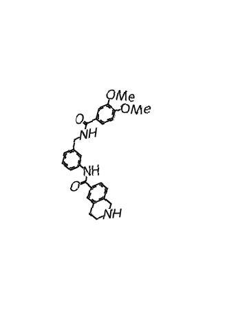 COc1ccc(C(=O)NCc2cccc(NC(=O)c3ccc4c(c3)CCNC4)c2)cc1OC